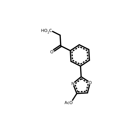 CC(=O)Oc1coc(-c2cccc(C(=O)CC(=O)O)c2)n1